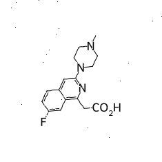 CN1CCN(c2cc3ccc(F)cc3c(CC(=O)O)n2)CC1